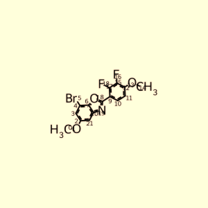 COc1cc(Br)c2oc(-c3ccc(OC)c(F)c3F)nc2c1